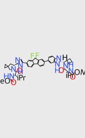 COC(=O)NC(C(=O)N1CC2(CC2)C[C@H]1c1ncc(-c2ccc3c(c2)C(F)(F)c2cc(-c4ccc5nc([C@@H]6[C@H]7CCC7N6C(=O)[C@@H](NC(=O)OC)C(C)C)[nH]c5c4)ccc2-3)[nH]1)C(C)C